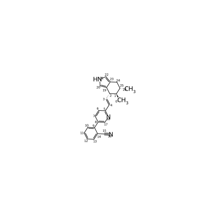 C[C@H]1[C@H](/C=C/c2ccc(-c3ccccc3C#N)cn2)c2c[nH]cc2C[C@@H]1C